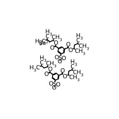 CC(C)CC(C)OC(=O)c1cc(C(=O)OC(C)CC(C)C)cc(S(=O)(=O)[O-])c1.CC(C)CC(C)OC(=O)c1cc(C(=O)OC(C)CC(C)C)cc(S(=O)(=O)[O-])c1.[Ba+2]